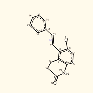 O=C1CCc2c(ccc(Cl)c2/C=C/c2ccccc2)N1